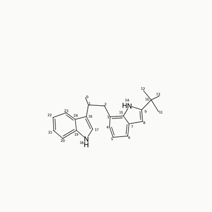 CC(Cc1cccc2cc(C(C)(C)C)[nH]c12)c1c[nH]c2ccccc12